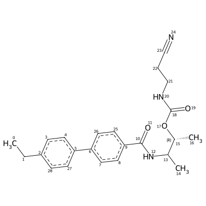 CCc1ccc(-c2ccc(C(=O)NC(C)[C@@H](C)OC(=O)NCCC#N)cc2)cc1